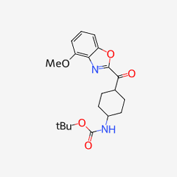 COc1cccc2oc(C(=O)C3CCC(NC(=O)OC(C)(C)C)CC3)nc12